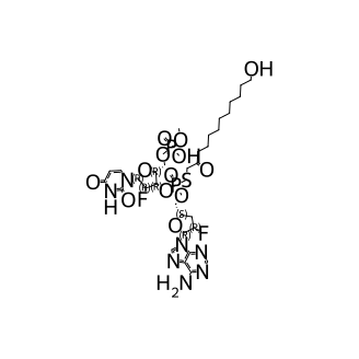 COP(=O)(O)OC[C@H]1O[C@@H](n2ccc(=O)[nH]c2=O)[C@H](F)[C@@H]1OP(=O)(OC[C@@H]1C[C@@H](F)[C@H](n2cnc3c(N)ncnc32)O1)SCC(=O)CCCCCCCCCCO